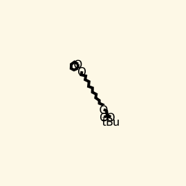 CC(C)(C)OC(=O)COCCCCCCCCCCCCOC1CCCCO1